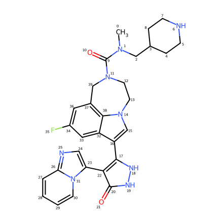 CN(CC1CCNCC1)C(=O)N1CCn2cc(-c3[nH][nH]c(=O)c3-c3cnc4ccccn34)c3cc(F)cc(c32)C1